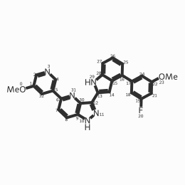 COc1cncc(-c2ccc3[nH]nc(-c4cc5c(-c6cc(F)cc(OC)c6)cccc5[nH]4)c3n2)c1